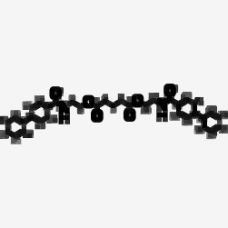 O=C(CCCC(=O)OCCNC(=O)c1ccc(-c2ccccc2)cc1)OCCNC(=O)c1ccc(-c2ccccc2)cc1